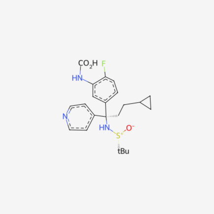 CC(C)(C)[S@@+]([O-])N[C@@](CCC1CC1)(c1ccncc1)c1ccc(F)c(NC(=O)O)c1